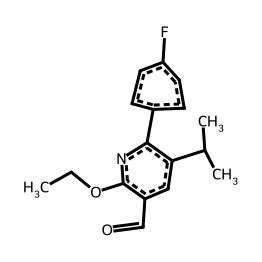 CCOc1nc(-c2ccc(F)cc2)c(C(C)C)cc1C=O